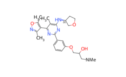 CNCC(O)COc1cccc(-c2nc(N[C@H]3CCOC3)c(C)c(-c3c(C)noc3C)n2)c1